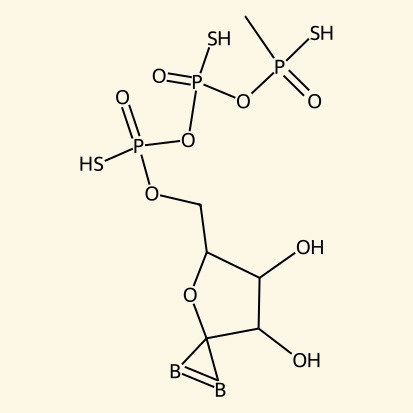 CP(=O)(S)OP(=O)(S)OP(=O)(S)OCC1OC2(B=B2)C(O)C1O